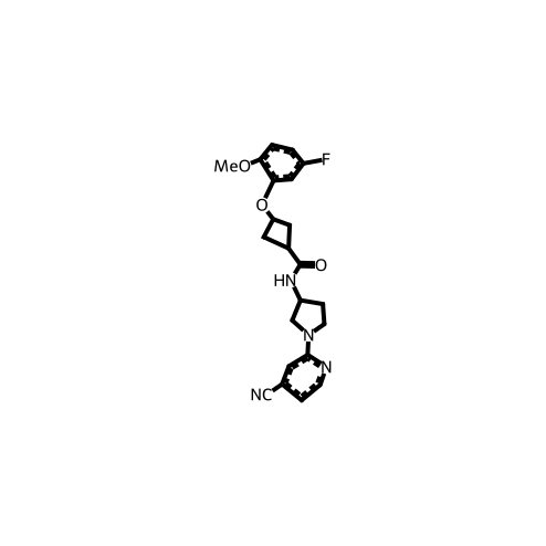 COc1ccc(F)cc1OC1CC(C(=O)NC2CCN(c3cc(C#N)ccn3)C2)C1